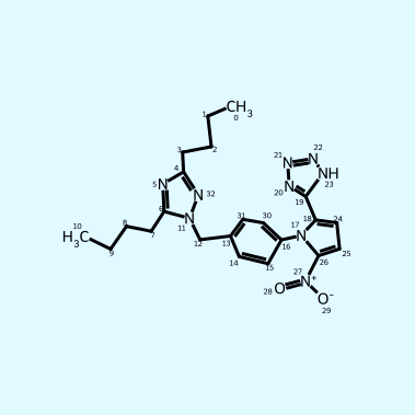 CCCCc1nc(CCCC)n(Cc2ccc(-n3c(-c4nnn[nH]4)ccc3[N+](=O)[O-])cc2)n1